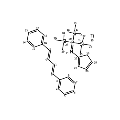 C(C=Cc1ccccc1)=Cc1ccccc1.C[Si](C)(C)P(=NC1=CC=CC1)([Si](C)(C)C)[Si](C)(C)C.[Ti]